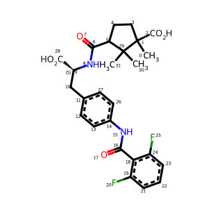 CC1(C(=O)O)CCC(C(=O)N[C@@H](Cc2ccc(NC(=O)c3c(F)cccc3F)cc2)C(=O)O)C1(C)C